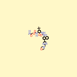 CNC(=O)COC(=O)Nc1cc(C(C)(C)C)cc(NC(=O)Nc2ccc(-c3cnc(CN4CCOCC4)nc3)c3ccccc23)c1OC